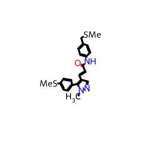 CSCc1ccc(NC(=O)C=Cc2cnn(C)c2-c2ccc(SC)cc2)cc1